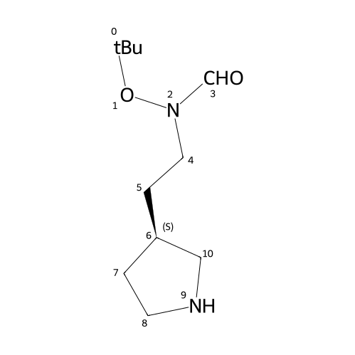 CC(C)(C)ON(C=O)CC[C@@H]1CCNC1